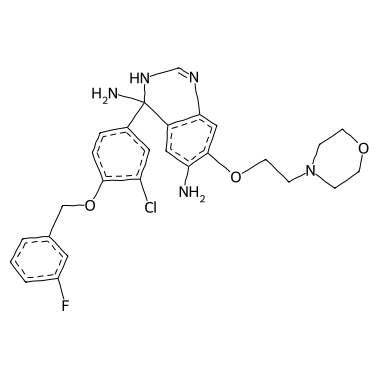 Nc1cc2c(cc1OCCN1CCOCC1)N=CNC2(N)c1ccc(OCc2cccc(F)c2)c(Cl)c1